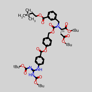 CC(C)(C)OC(=O)C[C@@H](C(=O)OC(C)(C)C)N(Cc1cccc(C(=O)OCC[Si](C)(C)C)c1)C(=O)OCc1ccc(OC(=O)c2ccc(NC(=NC(=O)OC(C)(C)C)NC(=O)OC(C)(C)C)cc2)cc1